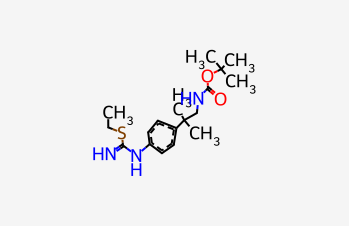 CCSC(=N)Nc1ccc(C(C)(C)CNC(=O)OC(C)(C)C)cc1